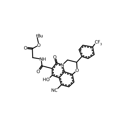 CC(C)(C)OC(=O)CNC(=O)c1c(O)c2c(C#N)ccc3c2n(c1=O)CC(c1ccc(C(F)(F)F)cc1)O3